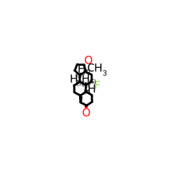 C[C@]12C[C@H](F)[C@H]3[C@@H](CCC4=CC(=O)CC[C@@H]43)[C@@H]1CCC2=O